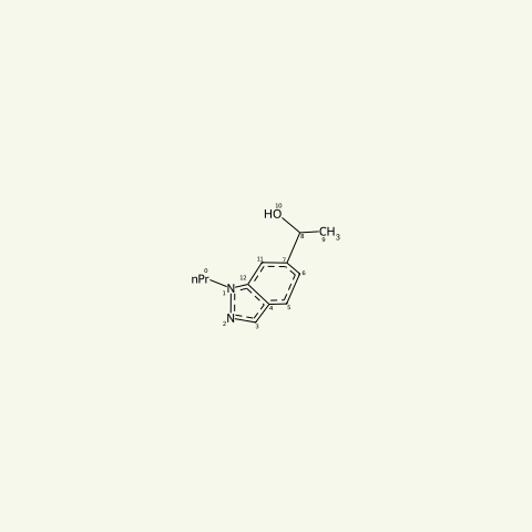 CCCn1ncc2ccc(C(C)O)cc21